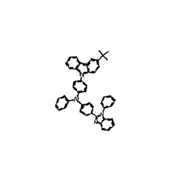 CC(C)(C)c1ccc2c(c1)c1ccccc1n2-c1ccc(N(c2ccccc2)c2ccc(-c3nc4ccccc4n3-c3ccccc3)cc2)cc1